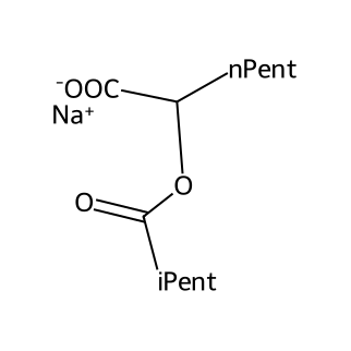 CCCCCC(OC(=O)C(C)CCC)C(=O)[O-].[Na+]